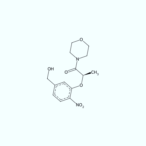 C[C@@H](Oc1cc(CO)ccc1[N+](=O)[O-])C(=O)N1CCOCC1